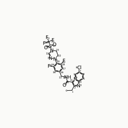 CCc1nc2ccc(Cl)cn2c1C(=O)NCc1cc(F)c(N2CCN(S(=O)(=O)C(F)(F)F)C=N2)c(F)c1